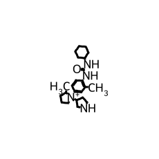 Cc1cc([N+]2(C3CCNC3)CCCC2C)ccc1NC(=O)NC1CCCCC1